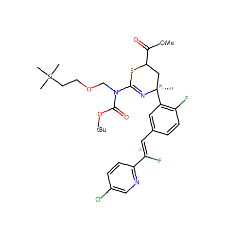 COC(=O)C1C[C@@](C)(c2cc(/C=C(\F)c3ccc(Cl)cn3)ccc2F)N=C(N(COCC[Si](C)(C)C)C(=O)OC(C)(C)C)S1